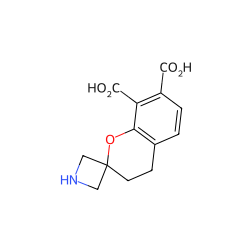 O=C(O)c1ccc2c(c1C(=O)O)OC1(CC2)CNC1